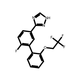 Fc1ccc(-c2nc[nH]n2)cc1-c1ccccc1OCC(F)(F)F